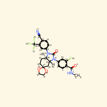 CNC(=O)c1ccc(N2C(=O)N(c3ccc(C#N)c(C(F)(F)F)c3)[C@@H]3CCC4(C[C@H]32)OCCO4)cc1F